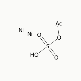 CC(=O)OS(=O)(=O)O.[Ni].[Ni]